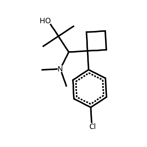 CN(C)C(C(C)(C)O)C1(c2ccc(Cl)cc2)CCC1